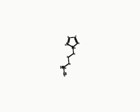 CCNCCCn1cccn1